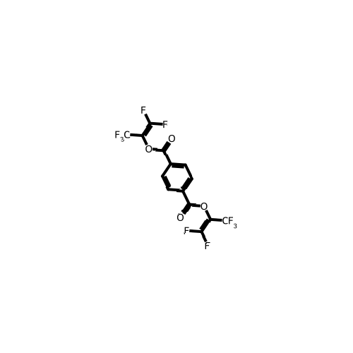 O=C(OC(=C(F)F)C(F)(F)F)c1ccc(C(=O)OC(=C(F)F)C(F)(F)F)cc1